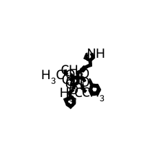 CC(C)C[C@@H](C(=O)OCc1ccccc1)C(CC#CCC1CCNC1)(C(=O)OCc1ccccc1)C(=O)OC(C)(C)C